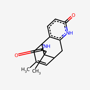 CC1=CC2Cc3[nH]c(=O)ccc3C3(C1)NC(=O)C(C)=C23